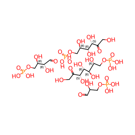 O=C(CO)[C@@H](O)[C@H](O)[C@H](O)COP(=O)(O)O.O=C(CO)[C@@H](O)[C@H](O)[C@H](O)[C@H](O)COP(=O)(O)O.O=CC(O)COP(=O)(O)O.O=C[C@H](O)[C@H](O)COP(=O)(O)O